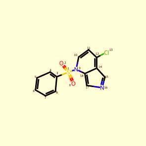 O=S(=O)(c1ccccc1)n1ccc(Cl)c2cncc1-2